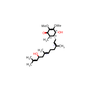 COC1=C(OC)[C@H](O)[C@H](C/C=C(\C)CC/C=C(\C)CC(O)C=C(C)C)[C@@H](C)C1=O